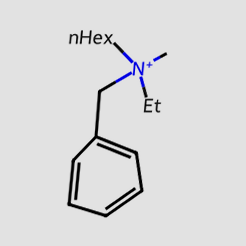 CCCCCC[N+](C)(CC)Cc1ccccc1